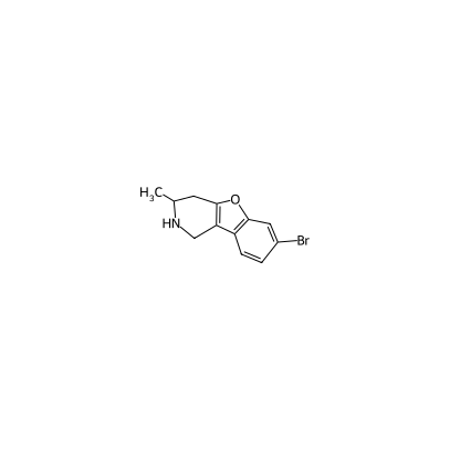 CC1Cc2oc3cc(Br)ccc3c2CN1